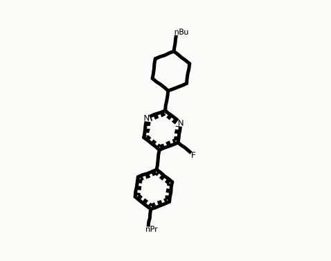 CCCCC1CCC(c2ncc(-c3ccc(CCC)cc3)c(F)n2)CC1